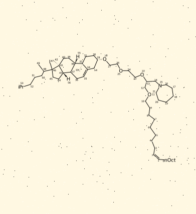 CCCCCCCC/C=C\CCCCCCCCOCC(CN1CCCCCC1)OCCOCCO[C@H]1CC[C@@]2(C)C(=CCC3[C@@H]2CC[C@@]2(C)[C@H]3CCC2(I)C(C)CCCC(C)C)C1